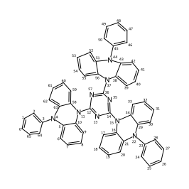 c1ccc(N2c3ccccc3N(c3nc(N4c5ccccc5N(c5ccccc5)c5ccccc54)nc(N4c5ccccc5N(c5ccccc5)c5ccccc54)n3)c3ccccc32)cc1